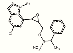 CCn1ncc2cc(Cl)nc(C3OC3CON(C(=O)O)C(C)c3ccccc3)c21